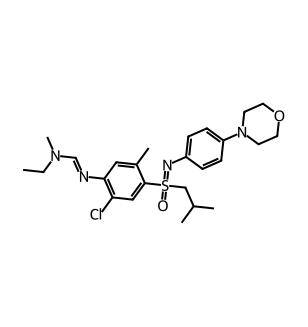 CCN(C)C=Nc1cc(C)c(S(=O)(CC(C)C)=Nc2ccc(N3CCOCC3)cc2)cc1Cl